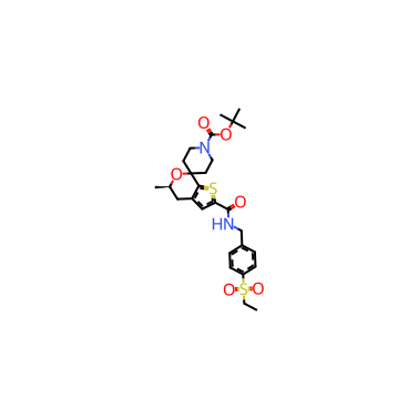 CCS(=O)(=O)c1ccc(CNC(=O)c2cc3c(s2)C2(CCN(C(=O)OC(C)(C)C)CC2)O[C@H](C)C3)cc1